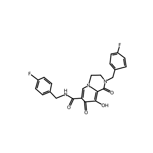 O=C(NCc1ccc(F)cc1)c1cn2c(c(O)c1=O)C(=O)N(Cc1ccc(F)cc1)CC2